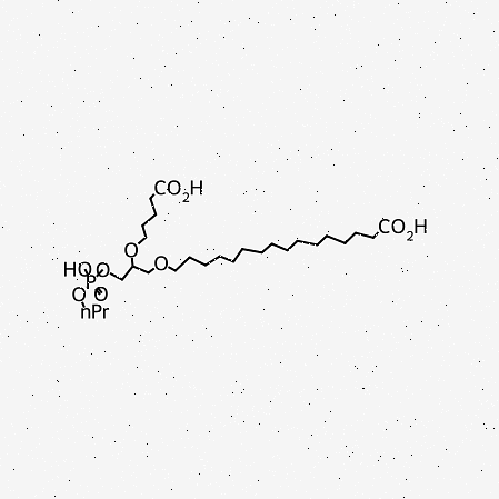 CCCOP(=O)(O)OCC(COCCCCCCCCCCCCCCCC(=O)O)OCCCCC(=O)O